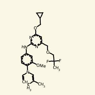 C=CN(C=C(C)C)c1ccc(Nc2nc(COCC(C)(F)F)cc(OCC3CC3)n2)cc1OC